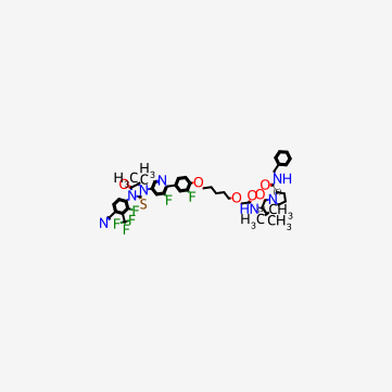 CC(C)(C)[C@H](NC(=O)COCCCCCOc1ccc(-c2ncc(N3C(=S)N(c4ccc(C#N)c(C(F)(F)F)c4F)C(=O)C3(C)C)cc2F)cc1F)C(=O)N1CCC[C@H]1C(=O)NCc1ccccc1